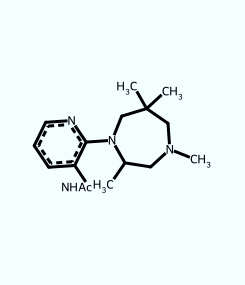 CC(=O)Nc1cccnc1N1CC(C)(C)CN(C)CC1C